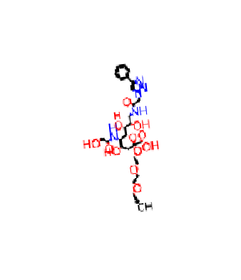 C#CCOCCOCCO[C@]1(C(=O)O)C[C@H](O)[C@@H](NC(=O)CO)[C@H]([C@H](O)[C@H](O)CNC(=O)Cn2cc(-c3ccccc3)nn2)O1